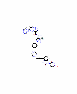 Cn1c(=O)n(C2CCC(=O)NC2=O)c2cccc(C#CCN3CCN(C[C@H]4CC[C@H](n5cc(NC(=O)c6cnn7ccc(N8CCNCC8)nc67)c(C(F)F)n5)CC4)CC3)c21